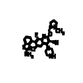 CN1CCC[C@H]1COc1nc2c(F)c(-c3cccc4sc(N)nc34)c(Cl)cc2c(N2CCNCC2)c1C#N